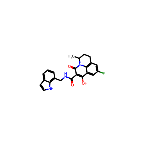 CC1CCc2cc(F)cc3c(O)c(C(=O)NCc4cccc5cc[nH]c45)c(=O)n1c23